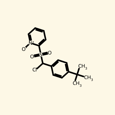 CC(C)(C)c1ccc(C(Cl)S(=O)(=O)c2cccc[n+]2[O-])cc1